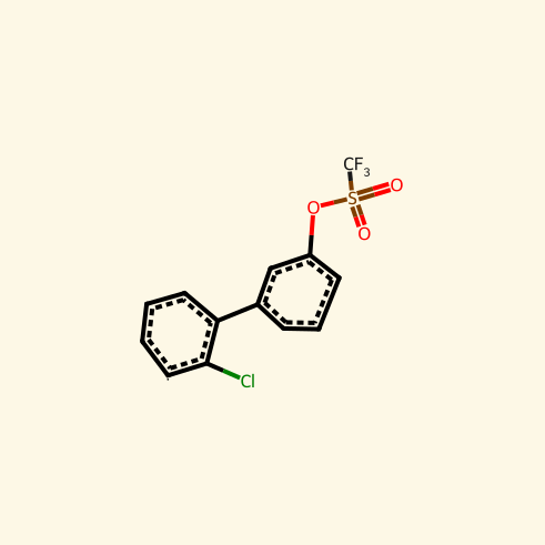 O=S(=O)(Oc1cccc(-c2ccc[c]c2Cl)c1)C(F)(F)F